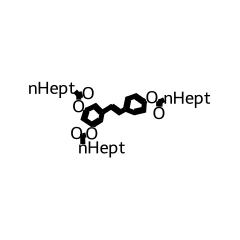 CCCCCCCC(=O)Oc1ccc(C=Cc2cc(OC(=O)CCCCCCC)cc(OC(=O)CCCCCCC)c2)cc1